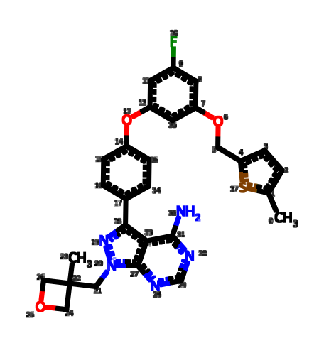 Cc1ccc(COc2cc(F)cc(Oc3ccc(-c4nn(CC5(C)COC5)c5ncnc(N)c45)cc3)c2)s1